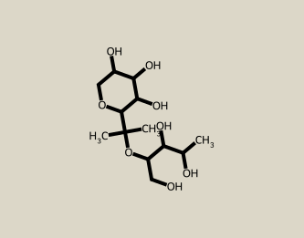 CC(O)C(O)C(CO)OC(C)(C)C1OCC(O)C(O)C1O